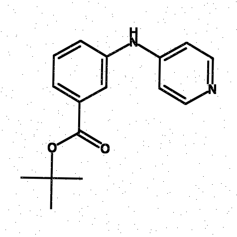 CC(C)(C)OC(=O)c1cccc(Nc2ccncc2)c1